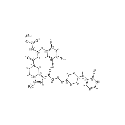 CC(C)(C)OC(=O)N[C@@H](CC(=O)N1CCn2c(C(F)(F)F)nc(C(=O)OCCN3CCC(Nc4ccc[nH]c4=O)CC3)c2C1)Cc1cc(F)c(F)cc1F